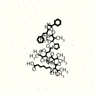 CCC(C)C(C(CC(=O)N1CCC[C@H]1C(OC)C(C)C(=O)NC(Cc1ccccc1)c1nnc(-c2ccccc2)o1)OC)N(C)C(=O)C(NC(=O)C(C(C)C)N(C)CCCCCC(=O)O)C(C)C